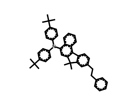 CC(C)(C)c1ccc(N(c2ccc(C(C)(C)C)cc2)c2cc3c(c4ccccc24)-c2ccc(CCc4ccccc4)cc2C3(C)C)cc1